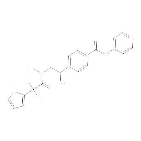 CN(CC(N)c1ccc(C(=O)Nc2ccncc2)cc1)C(=O)C(C)(C)c1cccs1